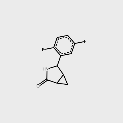 O=C1NC(c2cc(F)ccc2F)C2CC12